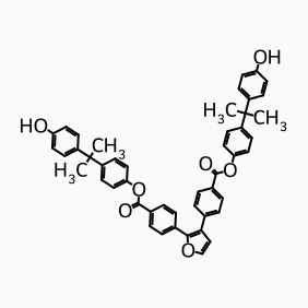 CC(C)(c1ccc(O)cc1)c1ccc(OC(=O)c2ccc(-c3ccoc3-c3ccc(C(=O)Oc4ccc(C(C)(C)c5ccc(O)cc5)cc4)cc3)cc2)cc1